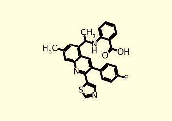 Cc1cc(C(C)Nc2ccccc2C(=O)O)c2cc(-c3ccc(F)cc3)c(-c3cncs3)nc2c1